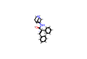 O=C(NC1CN2CCC1CC2)/C(=C/c1ccccc1)c1ccccc1